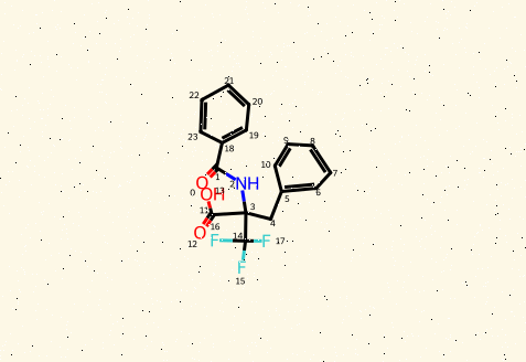 O=C(NC(Cc1ccccc1)(C(=O)O)C(F)(F)F)c1ccccc1